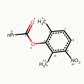 CCCC(=O)Oc1c(C)ccc([N+](=O)[O-])c1C